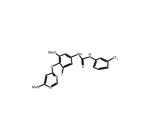 CNc1cc(Oc2c(I)cc(NC(=O)Nc3cccc(C(F)(F)F)c3)cc2OC)ncn1